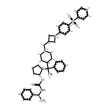 C[C@H](NC(=O)O[C@@H]1CCC[C@H]1C(C#N)(c1ccccc1)C1CCN(CC2CN(c3ccc(S(=O)(=O)c4ccncc4)cc3)C2)CC1)c1ccccc1